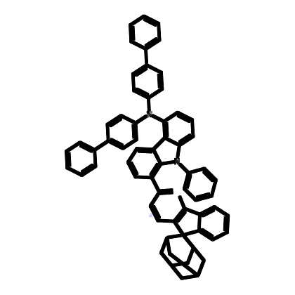 C=C(/C=C\C1=C(C)c2ccccc2C12C1CC3CC(C1)CC2C3)c1cccc2c3c(N(c4ccc(-c5ccccc5)cc4)c4ccc(-c5ccccc5)cc4)cccc3n(-c3ccccc3)c12